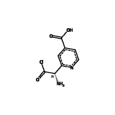 N[C@H](C(=O)Cl)c1cc(C(=O)O)ccn1